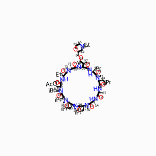 CC[C@@H]1NC(=O)[C@H]([C@H](OC(C)=O)[C@H](C)CC)N(C)C(=O)[C@H](C(C)C)N(C)C(=O)[C@H](CC(C)C)N(C)C(=O)[C@H](CC(C)C)N(C)C(=O)[C@@H](C)NC(=O)[C@H](C)NC(=O)[C@H](CC(C)C)N(C)C(=O)[C@H](C(C)C)NC(=O)[C@H]([C@H](C)COC[C@@H]2CN(CC)CCO2)N(C)C(=O)[C@@H](C)N(C)C1=O